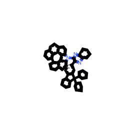 c1ccc(C2(c3ccccc3)c3ccccc3-c3ccc(-c4nc5ccccc5nc4-n4c5ccc6cccc7c6c5c5c6c(ccc8cccc-7c86)ccc54)cc32)cc1